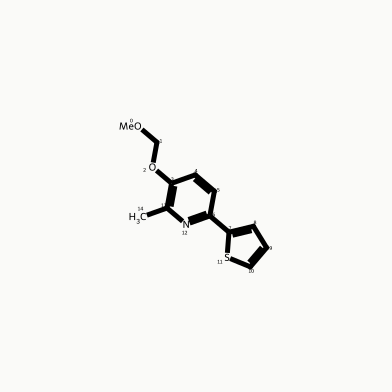 COCOc1ccc(-c2cccs2)nc1C